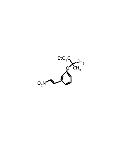 CCOC(=O)C(C)(C)Oc1cccc(C=C[N+](=O)[O-])c1